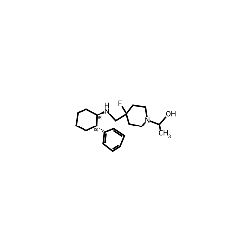 CC(O)N1CCC(F)(CN[C@@H]2CCCC[C@H]2c2ccccc2)CC1